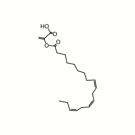 C=C(OC(=O)CCCCCCC/C=C\C/C=C\C/C=C\CC)C(=O)O